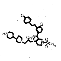 CS(=O)(=O)N1CCc2c(c(-c3ccc(Cl)c(CCc4ccc(Cl)cc4)c3)nn2C[C@@H](O)CN2CCC(C3CCNCC3)CC2)C1